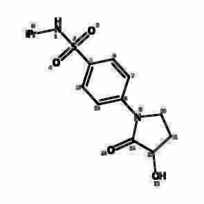 CC(C)NS(=O)(=O)c1ccc(N2CCC(O)C2=O)cc1